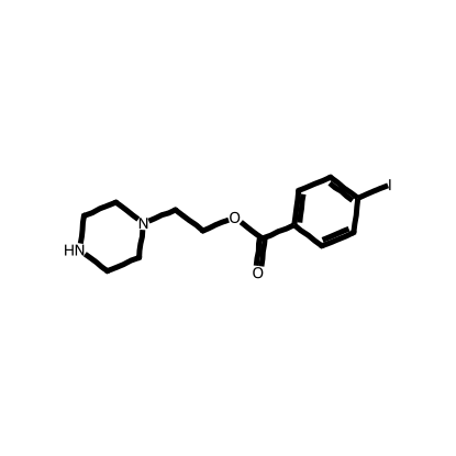 O=C(OCCN1CCNCC1)c1ccc(I)cc1